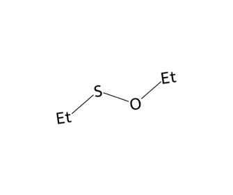 [CH2]COSCC